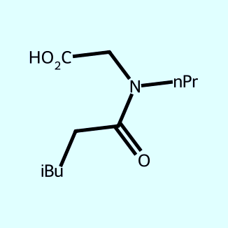 CCCN(CC(=O)O)C(=O)CC(C)CC